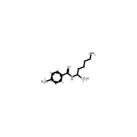 NCCCCC(NC(=O)c1ccc([N+](=O)[O-])cc1)C(=O)O